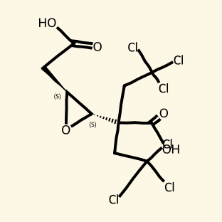 O=C(O)C[C@@H]1O[C@H]1C(CC(Cl)(Cl)Cl)(CC(Cl)(Cl)Cl)C(=O)O